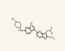 CC(=O)N1CCC(Nc2ncc3c(-c4ccc5nc(C)n(CC(F)F)c5n4)c[nH]c3n2)CC1